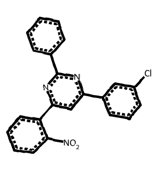 O=[N+]([O-])c1ccccc1-c1cc(-c2cccc(Cl)c2)nc(-c2ccccc2)n1